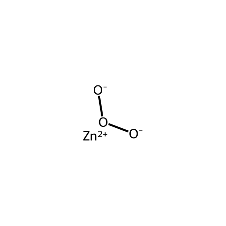 [O-]O[O-].[Zn+2]